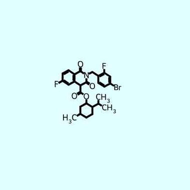 CC1CCC(C(C)C)C(OC(=O)C2C(=O)N(Cc3ccc(Br)cc3F)C(=O)c3ccc(F)cc32)C1